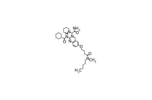 CCCCCN(C)C(=O)CCCOc1ccc2c(c1)CN(C(C(N)=O)N1CCCCC1)C(NC(=O)C1CCCCC1)=N2